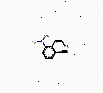 C#Cc1cccc(N(C)C)c1/C=C\C